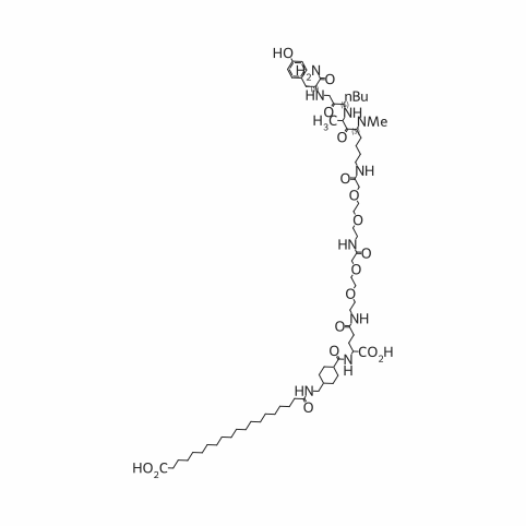 CCCC[C@H](NC(C)C(=O)[C@H](CCCCNC(=O)COCCOCCNC(=O)COCCOCCNC(=O)CCC(NC(=O)C1CCC(CNC(=O)CCCCCCCCCCCCCCCCCCC(=O)O)CC1)C(=O)O)NC)C(=O)CN[C@@H](Cc1ccc(O)cc1)C(N)=O